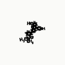 CCN(CC)C(=O)c1cccc(-c2ccc3c(c2)Oc2c(O)cccc2C3=C2CCNCC2)c1